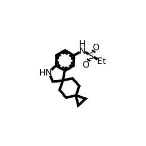 CCS(=O)(=O)Nc1ccc2c(c1)C1(CCC3(CC3)CC1)CN2